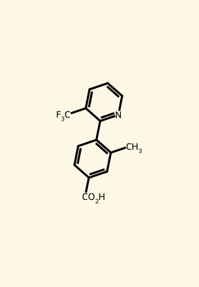 Cc1cc(C(=O)O)ccc1-c1ncccc1C(F)(F)F